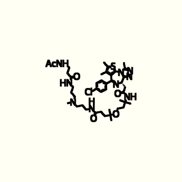 CC(=O)NCCC(=O)NCCCN(C)CCCNC(=O)CCC(C)(C)OCCC(C)(C)NC(=O)C[C@@H]1N=C(c2ccc(Cl)cc2)c2c(sc(C)c2C)-n2c(C)nnc21